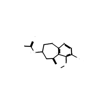 COc1c(N)ccc2c1C(=O)CC(NC(C)=O)CC2